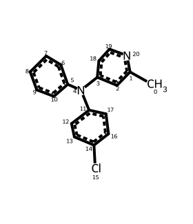 Cc1cc(N(c2ccccc2)c2ccc(Cl)cc2)ccn1